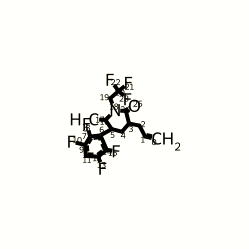 C=CCC1CC(c2c(F)c(F)cc(F)c2F)C(C)N(CC(F)(F)F)C1=O